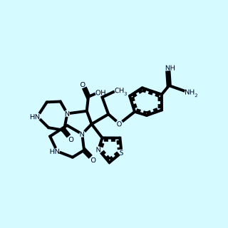 CCC(Oc1ccc(C(=N)N)cc1)C(c1cscn1)(C(C(=O)O)N1CCNCC1=O)N1CCNCC1=O